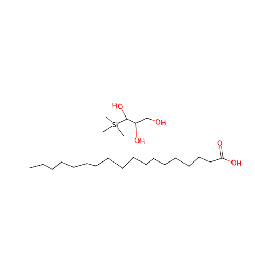 CCCCCCCCCCCCCCCCCC(=O)O.C[Si](C)(C)C(O)C(O)CO